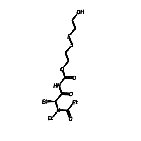 CCC(=O)N(CC)[C@@H](CC)C(=O)NC(=O)OCCSSCCO